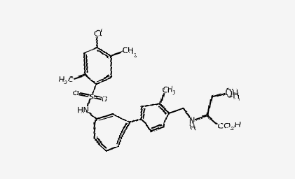 Cc1cc(S(=O)(=O)Nc2cccc(-c3ccc(CNC(CO)C(=O)O)c(C)c3)c2)c(C)cc1Cl